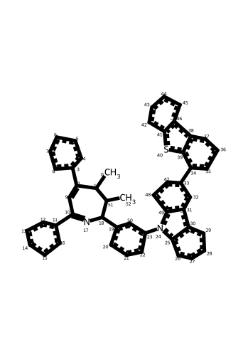 CC1C(c2ccccc2)=CC(c2ccccc2)=NC(c2cccc(-n3c4ccccc4c4cc(-c5cccc6c5sc5ccccc56)ccc43)c2)C1C